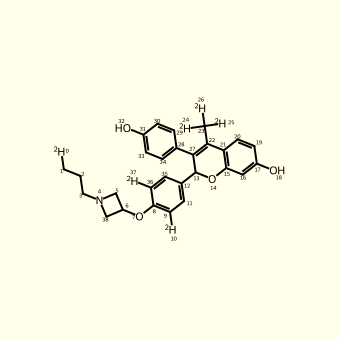 [2H]CCCN1CC(Oc2c([2H])cc(C3Oc4cc(O)ccc4C(C([2H])([2H])[2H])=C3c3ccc(O)cc3)cc2[2H])C1